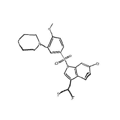 COc1ccc(S(=O)(=O)n2cc(C(F)F)c3ccc(Cl)cc32)cc1N1CCCCC1